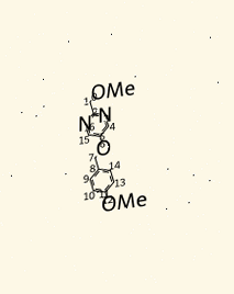 COCc1ncc(OCc2ccc(OC)cc2)cn1